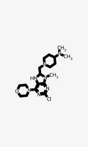 CN(C)C1CCN(CC2Nc3c(N4CCOCC4)nc(Cl)nc3N2C)CC1